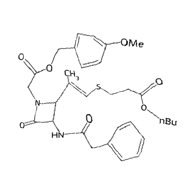 CCCCOC(=O)CCSC=C(C)C1C(NC(=O)Cc2ccccc2)C(=O)N1CC(=O)OCc1ccc(OC)cc1